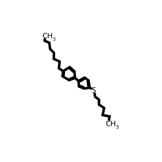 CCCCCCCCc1ccc(-c2ccc(SCCCCCCC)cc2)cc1